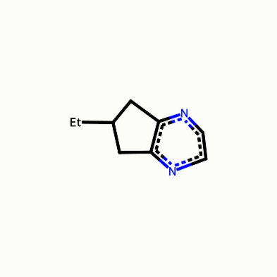 CCC1Cc2nccnc2C1